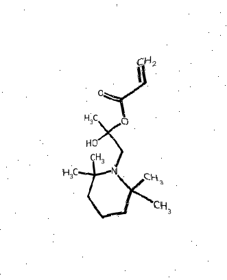 C=CC(=O)OC(C)(O)CN1C(C)(C)CCCC1(C)C